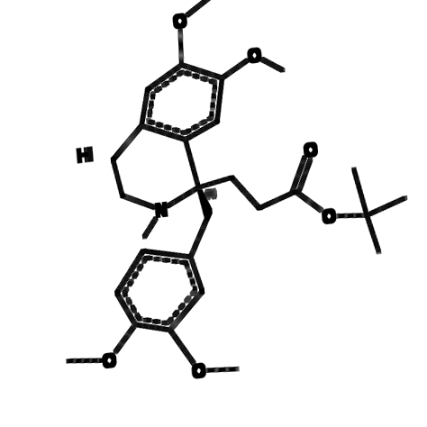 COc1ccc(C[C@]2(CCC(=O)OC(C)(C)C)c3cc(OC)c(OC)cc3CCN2C)cc1OC.I